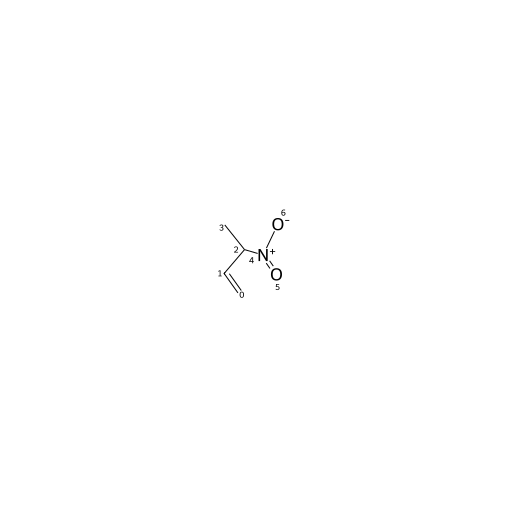 C=CC(C)[N+](=O)[O-]